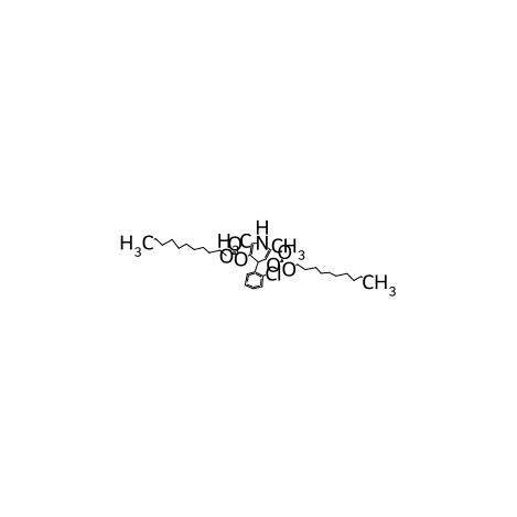 CCCCCCCCCCOC(=O)OC1=C(C)NC(C)=C(OC(=O)OCCCCCCCCCC)C1c1ccccc1Cl